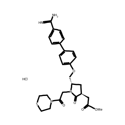 COC(=O)C[C@@H]1C[C@@H](COc2ccc(-c3ccc(C(=N)N)cc3)cc2)N(CC(=O)N2CCSCC2)C1=O.Cl